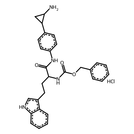 Cl.NC1CC1c1ccc(NC(=O)C(CCc2c[nH]c3ccccc23)NC(=O)OCc2ccccc2)cc1